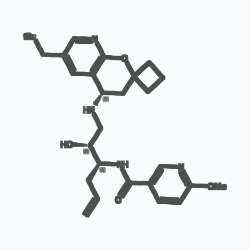 C=CC[C@H](NC(=O)c1ccc(OC)nc1)[C@H](O)CN[C@H]1CC2(CCC2)Oc2ncc(CC(C)(C)C)cc21